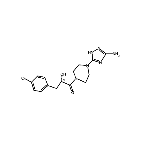 Nc1n[nH]c(N2CCN(C(=O)[C@@H](O)Cc3ccc(Cl)cc3)CC2)n1